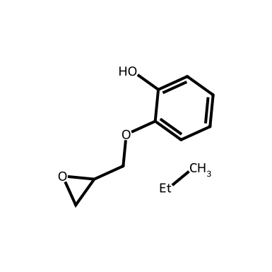 CCC.Oc1ccccc1OCC1CO1